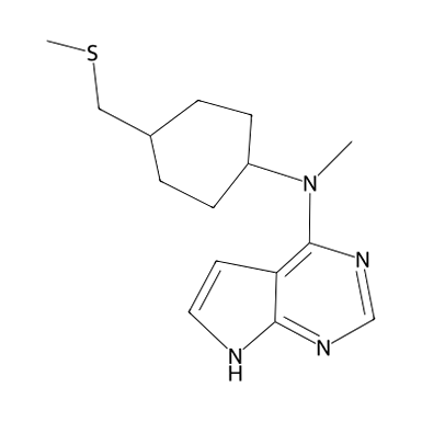 CSCC1CCC(N(C)c2ncnc3[nH]ccc23)CC1